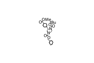 COC(=O)c1ccc(C2CN(C(=O)OCc3ccccc3)CCN2C(=O)OC(C)(C)C)cc1